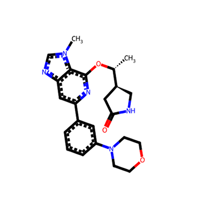 C[C@@H](Oc1nc(-c2cccc(N3CCOCC3)c2)cc2ncn(C)c12)[C@H]1CNC(=O)C1